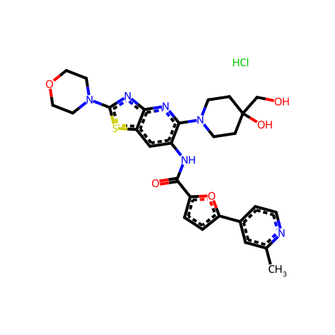 Cc1cc(-c2ccc(C(=O)Nc3cc4sc(N5CCOCC5)nc4nc3N3CCC(O)(CO)CC3)o2)ccn1.Cl